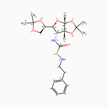 CC1(C)O[C@H]2O[C@H]([C@H]3COC(C)(C)O3)[C@@H](NC(=O)SNCCc3ccccc3)[C@H]2O1